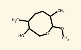 COC1OCC(O)C(C)CCC1C